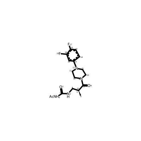 CC(=O)NC(=O)NC[C@H](C)C(=O)N1CCN(c2ccc(F)c(F)c2)CC1